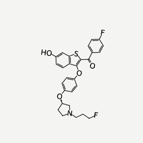 O=C(c1ccc(F)cc1)c1sc2cc(O)ccc2c1Oc1ccc(O[C@@H]2CCN(CCCF)C2)cc1